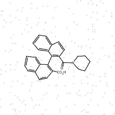 O=C(O)c1ccc2ccccc2c1-c1c(C(=O)N2CCCCC2)ccc2ccccc12